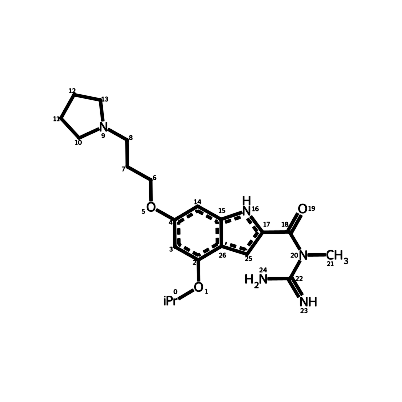 CC(C)Oc1cc(OCCCN2CCCC2)cc2[nH]c(C(=O)N(C)C(=N)N)cc12